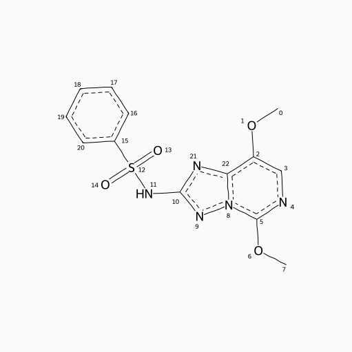 COc1cnc(OC)n2nc(NS(=O)(=O)c3ccccc3)nc12